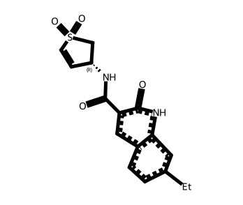 CCc1ccc2cc(C(=O)N[C@@H]3C=CS(=O)(=O)C3)c(=O)[nH]c2c1